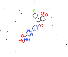 O=C(NO)c1cnc(N2CCN(C(=O)C(=Cc3ccc(F)cc3)c3ccc4c(c3)OCO4)CC2)nc1